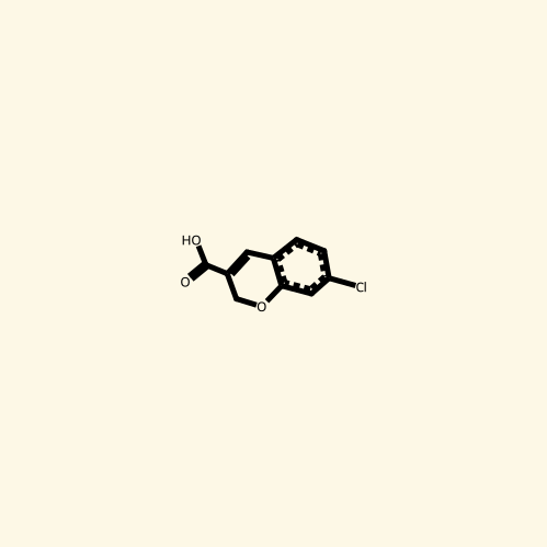 O=C(O)C1=Cc2ccc(Cl)cc2OC1